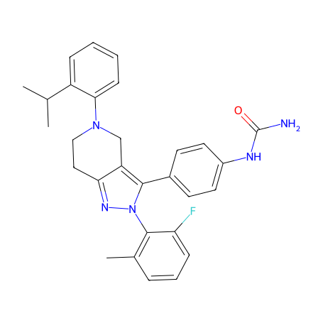 Cc1cccc(F)c1-n1nc2c(c1-c1ccc(NC(N)=O)cc1)CN(c1ccccc1C(C)C)CC2